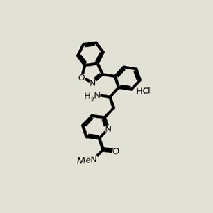 CNC(=O)c1cccc(CC(N)c2ccccc2-c2noc3ccccc23)n1.Cl